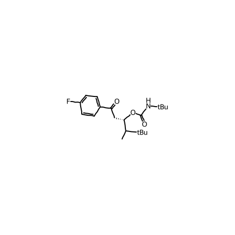 CC([C@H](CC(=O)c1ccc(F)cc1)OC(=O)NC(C)(C)C)C(C)(C)C